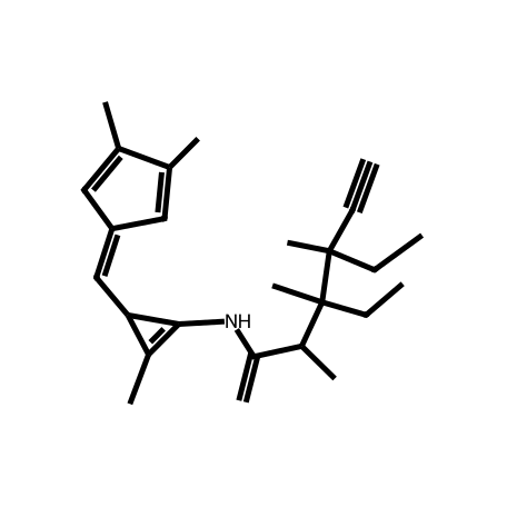 C#CC(C)(CC)C(C)(CC)C(C)C(=C)NC1=C(C)C1C=C1C=C(C)C(C)=C1